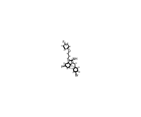 N=c1n(CCCOC2=CCC(F)C=C2)c2cc(F)ccc2n1Cc1ccc(Br)cc1